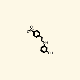 O=[N+]([O-])c1ccc(CCNc2cccc(O)c2)cc1